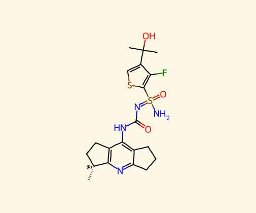 C[C@@H]1CCc2c1nc1c(c2NC(=O)N=S(N)(=O)c2scc(C(C)(C)O)c2F)CCC1